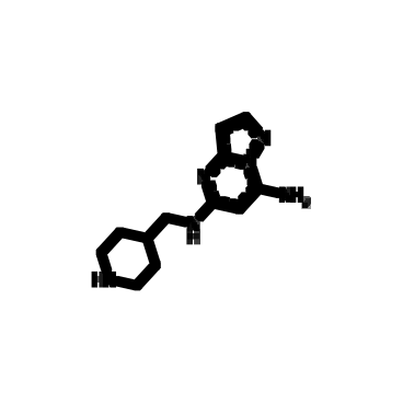 Nc1cc(NCC2CCNCC2)nc2ccnn12